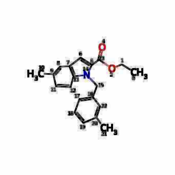 CCOC(=O)c1cc2cc(C)ccc2n1Cc1cccc(C)c1